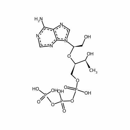 C[C@H](O)[C@@H](COP(=O)(O)OP(=O)(O)OP(=O)(O)O)O[C@H](CO)n1cnc2c(N)ncnc21